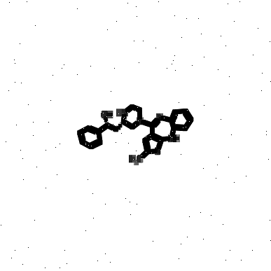 Cc1cc2c(s1)Nc1ccccc1N=C2N1CCN[C@@H](C[C@@H](O)c2ccccc2)C1